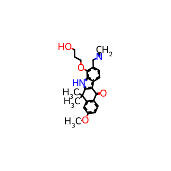 C=NCc1ccc2c3c([nH]c2c1OCCCO)C(C)(C)c1cc(OC)ccc1C3=O